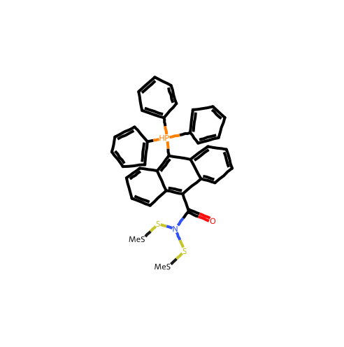 CSSN(SSC)C(=O)c1c2ccccc2c([PH](c2ccccc2)(c2ccccc2)c2ccccc2)c2ccccc12